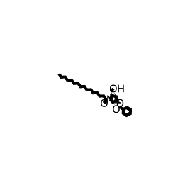 CCCCCCCCCCCCCCCC(=O)N1C[C@H](OC(=O)c2ccccc2)C[C@H]1CO